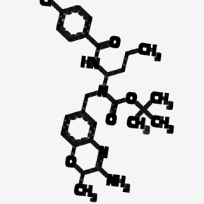 CCCC(NC(=O)c1ccc(Cl)cc1)N(Cc1ccc2c(c1)N=C(N)C(C)O2)C(=O)OC(C)(C)C